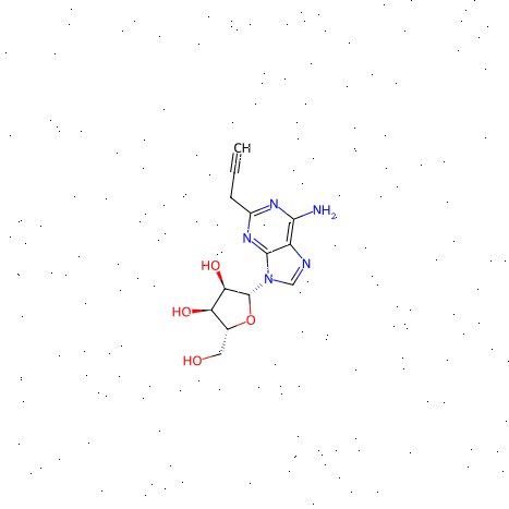 C#CCc1nc(N)c2ncn([C@@H]3O[C@H](CO)[C@@H](O)[C@H]3O)c2n1